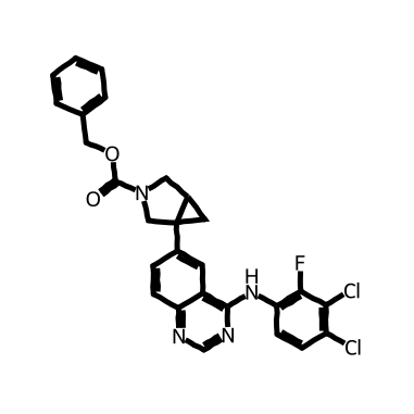 O=C(OCc1ccccc1)N1CC2CC2(c2ccc3ncnc(Nc4ccc(Cl)c(Cl)c4F)c3c2)C1